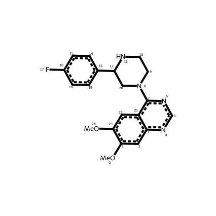 COc1cc2ncnc(N3CCNC(c4ccc(F)cc4)C3)c2cc1OC